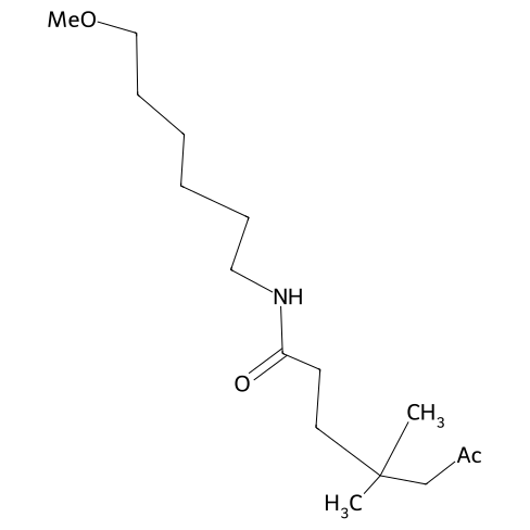 COCCCCCCNC(=O)CCC(C)(C)CC(C)=O